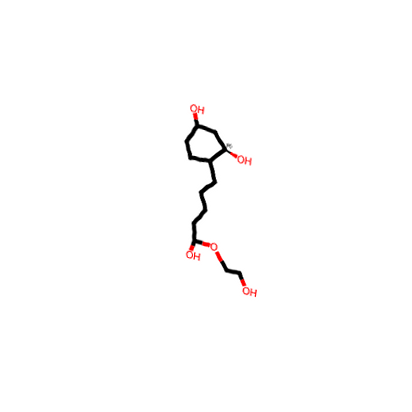 OCCOC(O)CCCCC1CCC(O)C[C@H]1O